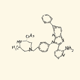 C[C@@H]1CN(Cc2ccc(-n3c(-c4cccnc4N)nc4ccc(-c5ccccc5)nc43)cc2)C[C@@H](C)N1